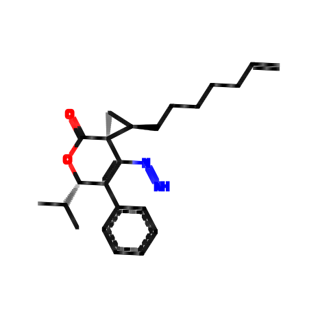 C=CCCCCC[C@@H]1C[C@]12C(=O)O[C@@H](C(C)C)C(c1ccccc1)=C2N=N